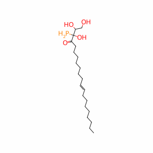 CCCCCCCCC=CCCCCCCCC(=O)C(O)(P)C(O)CO